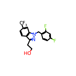 OCCc1nn(Cc2ccc(F)cc2F)c2cc(C(F)(F)F)ccc12